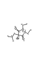 CCOC(=O)C(Br)(CC(C)C)C(=O)OCC